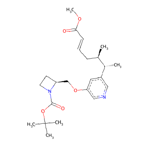 COC(=O)/C=C/C[C@@H](C)[C@H](C)c1cncc(OC[C@@H]2CCN2C(=O)OC(C)(C)C)c1